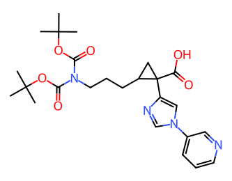 CC(C)(C)OC(=O)N(CCCC1CC1(C(=O)O)c1cn(-c2cccnc2)cn1)C(=O)OC(C)(C)C